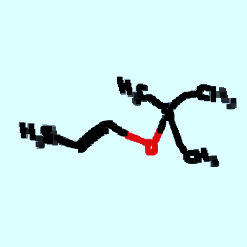 C[Si](C)(C)OC=C[SiH3]